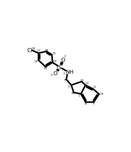 O=S(=O)(NCC1Cc2ccccc2C1)c1ccc(Cl)cc1